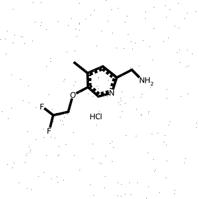 Cc1cc(CN)ncc1OCC(F)F.Cl